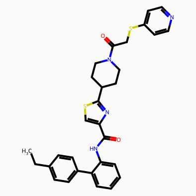 CCc1ccc(-c2ccccc2NC(=O)c2csc(C3CCN(C(=O)CSc4ccncc4)CC3)n2)cc1